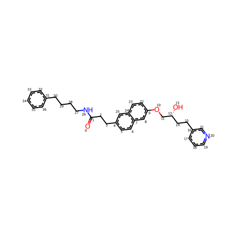 O=C(CCc1ccc2cc(OC[C@H](O)CCc3cccnc3)ccc2c1)NCCCCc1ccccc1